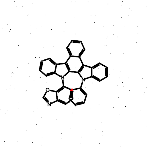 c1ccc(-n2c3ccccc3c3c4ccccc4c4c5ccccc5n(-c5cccc6ncoc56)c4c32)cc1